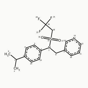 CC(C)c1ccc(N(Cc2cccnc2)S(=O)(=O)CC(F)(F)F)cc1